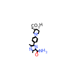 Cc1nc(C)c(-c2ccc(N3CCC[C@H](CC(=O)O)C3)cc2)nc1C(N)=O